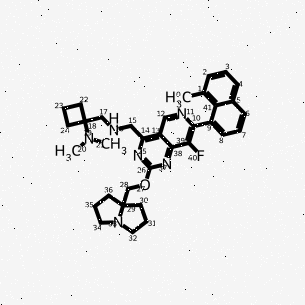 Cc1cccc2cccc(-c3ncc4c(CNCC5(N(C)C)CCC5)nc(OCC56CCCN5CCC6)nc4c3F)c12